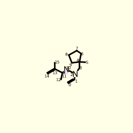 C=CN(CC1(C)CCCC1)/N=C(\C)C(=C)C